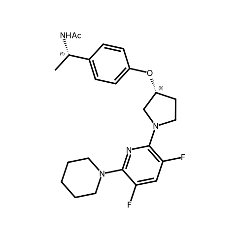 CC(=O)N[C@@H](C)c1ccc(O[C@@H]2CCN(c3nc(N4CCCCC4)c(F)cc3F)C2)cc1